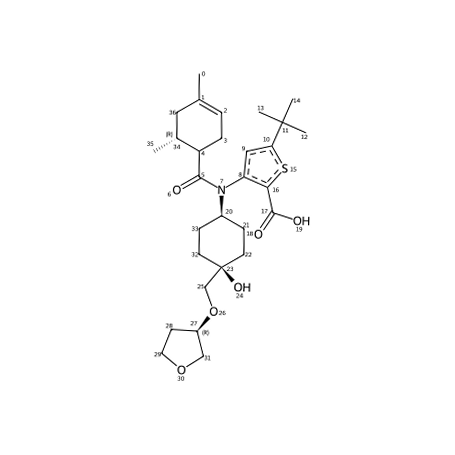 CC1=CCC(C(=O)N(c2cc(C(C)(C)C)sc2C(=O)O)[C@H]2CC[C@](O)(CO[C@@H]3CCOC3)CC2)[C@H](C)C1